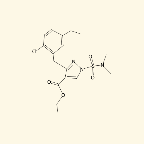 CCOC(=O)c1cn(S(=O)(=O)N(C)C)nc1Cc1cc(CC)ccc1Cl